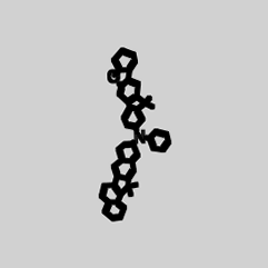 CC1(C)c2cc(N(c3ccccc3)c3ccc4cc5c(cc4c3)C(C)(C)c3c-5ccc4ccccc34)ccc2-c2cc3oc4ccccc4c3cc21